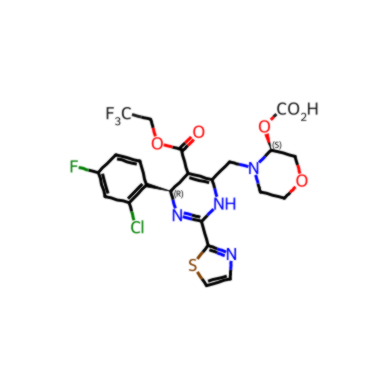 O=C(O)O[C@H]1COCCN1CC1=C(C(=O)OCC(F)(F)F)[C@H](c2ccc(F)cc2Cl)N=C(c2nccs2)N1